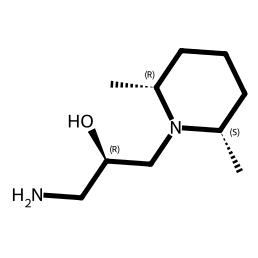 C[C@@H]1CCC[C@H](C)N1C[C@H](O)CN